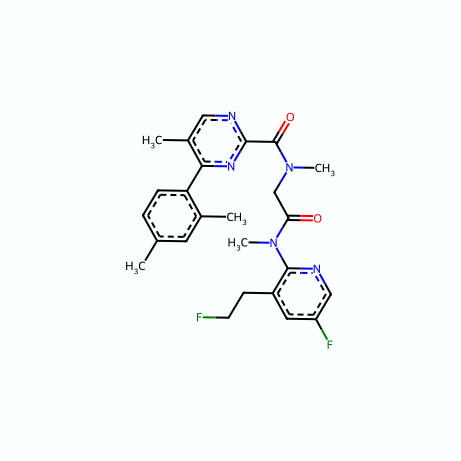 Cc1ccc(-c2nc(C(=O)N(C)CC(=O)N(C)c3ncc(F)cc3CCF)ncc2C)c(C)c1